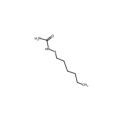 CCCCCCSNC(N)=O